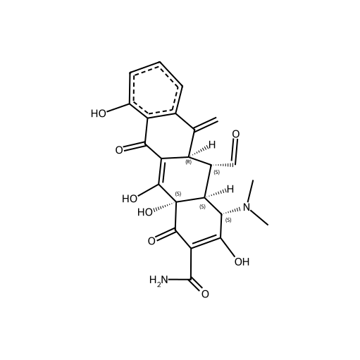 C=C1c2cccc(O)c2C(=O)C2=C(O)[C@]3(O)C(=O)C(C(N)=O)=C(O)[C@@H](N(C)C)[C@@H]3[C@@H](C=O)[C@H]12